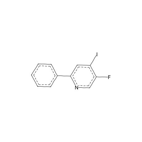 Fc1cnc(-c2ccccc2)cc1I